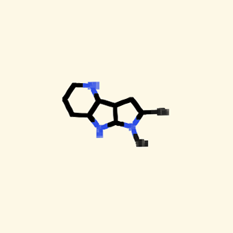 CC(C)(C)C1CC2C3NCCCC3NC2N1C(C)(C)C